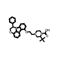 CC(C)(C)C1CN(CCOc2cccc3c2c2cccc4c2n3C(c2ccccc2)CO4)CCN1C(=O)O